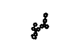 CC1(C)CCC(C)(C)c2cc(-n3c4ccc(-c5ccc6c(c5)c5ccccc5n6-c5ccc(-c6ccccc6)cc5)cc4c4c(-c5ccccc5)cccc43)ccc21